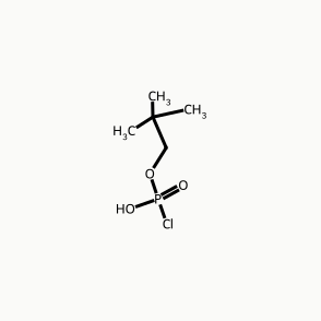 CC(C)(C)COP(=O)(O)Cl